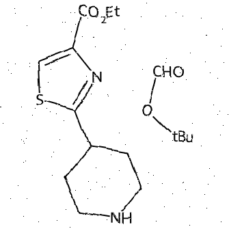 CC(C)(C)OC=O.CCOC(=O)c1csc(C2CCNCC2)n1